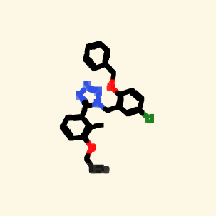 COCOc1cccc(-c2nnnn2Cc2cc(Cl)ccc2OCc2ccccc2)c1C